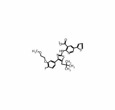 COCCOc1cc(-c2nc(Nc3ncc(-c4cccs4)cc3C(=O)OI)sc2CC(C)(C)C)ccc1F